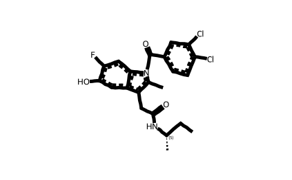 CC[C@H](C)NC(=O)Cc1c(C)n(C(=O)c2ccc(Cl)c(Cl)c2)c2cc(F)c(O)cc12